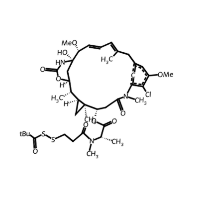 COc1cc2cc(c1Cl)N(C)C(=O)C[C@H](OC(=O)[C@H](C)N(C)C(=O)CCSSC(=O)C(C)(C)C)[C@@]1(C)C[C@H]1[C@H](C)[C@@H]1C[C@@](O)(NC(=O)O1)[C@H](OC)/C=C/C=C(\C)C2